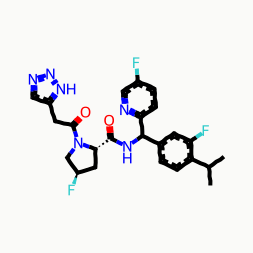 CC(C)c1ccc(C(NC(=O)[C@@H]2C[C@@H](F)CN2C(=O)Cc2cnn[nH]2)c2ccc(F)cn2)cc1F